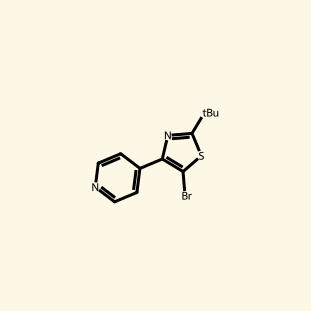 CC(C)(C)c1nc(-c2ccncc2)c(Br)s1